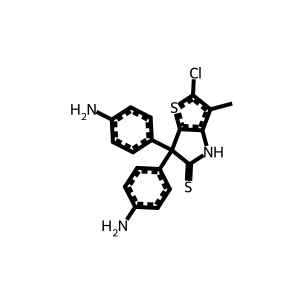 Cc1c(Cl)sc2c1NC(=S)C2(c1ccc(N)cc1)c1ccc(N)cc1